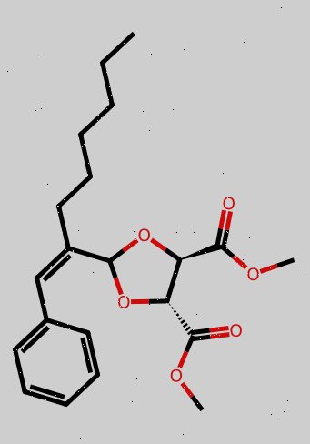 CCCCCCC(=Cc1ccccc1)C1O[C@@H](C(=O)OC)[C@H](C(=O)OC)O1